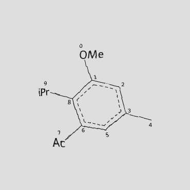 COc1cc(C)cc(C(C)=O)c1C(C)C